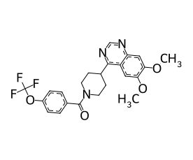 COc1cc2ncnc(C3CCN(C(=O)c4ccc(OC(F)(F)F)cc4)CC3)c2cc1OC